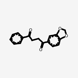 O=C(CCC(=O)c1ccc2c(c1)OCO2)c1ccccc1